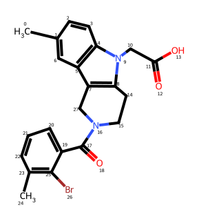 Cc1ccc2c(c1)c1c(n2CC(=O)O)CCN(C(=O)c2cccc(C)c2Br)C1